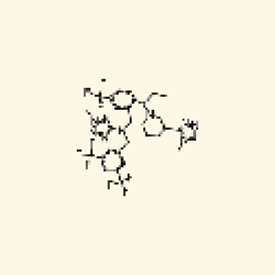 CCC(c1ccc(C(F)(F)F)cc1CN(Cc1cc(C(F)(F)F)cc(C(F)(F)F)c1)c1nnn(C)n1)N1CCCC(c2nncn2C)C1